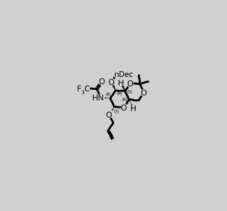 C=CCO[C@H]1O[C@@H]2COC(C)(C)O[C@H]2[C@H](OCCCCCCCCCC)[C@H]1NC(=O)C(F)(F)F